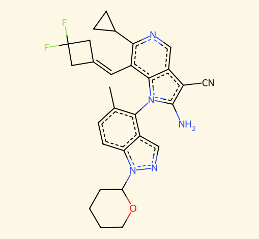 Cc1ccc2c(cnn2C2CCCCO2)c1-n1c(N)c(C#N)c2cnc(C3CC3)c(C=C3CC(F)(F)C3)c21